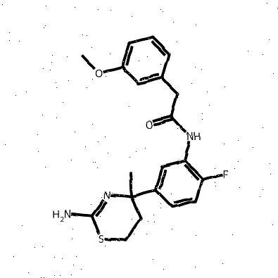 COc1cccc(CC(=O)Nc2cc(C3(C)CCSC(N)=N3)ccc2F)c1